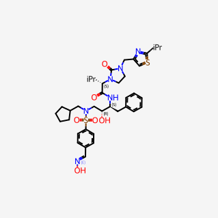 CC(C)c1nc(CN2CCN([C@H](C(=O)N[C@@H](Cc3ccccc3)[C@H](O)CN(CC3CCCC3)S(=O)(=O)c3ccc(/C=N/O)cc3)C(C)C)C2=O)cs1